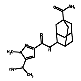 CCCN(C)c1cc(C(=O)NC2C3CC4CC2CC(C(N)=O)(C4)C3)nn1C